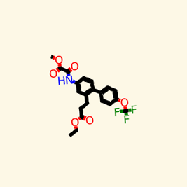 CCOC(=O)CCc1cc(NC(=O)C(=O)OC)ccc1-c1ccc(OC(F)(F)F)cc1